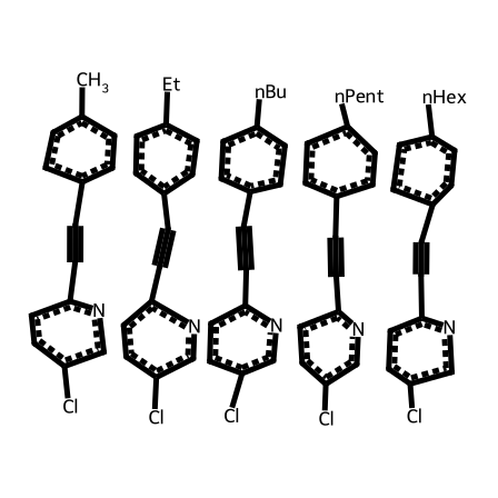 CCCCCCc1ccc(C#Cc2ccc(Cl)cn2)cc1.CCCCCc1ccc(C#Cc2ccc(Cl)cn2)cc1.CCCCc1ccc(C#Cc2ccc(Cl)cn2)cc1.CCc1ccc(C#Cc2ccc(Cl)cn2)cc1.Cc1ccc(C#Cc2ccc(Cl)cn2)cc1